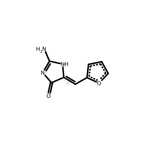 NC1=NC(=O)/C(=C/c2ccco2)N1